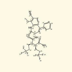 COc1c(C#N)ccc2c1NC(=O)[C@@H](NC(=O)[C@H](CCC(F)(F)F)[C@H](CCC(F)(F)F)C(N)=O)N=C2c1ccccc1